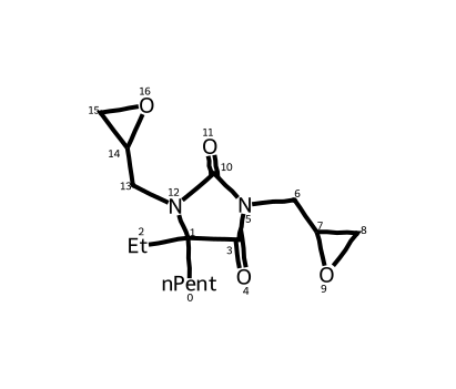 CCCCCC1(CC)C(=O)N(CC2CO2)C(=O)N1CC1CO1